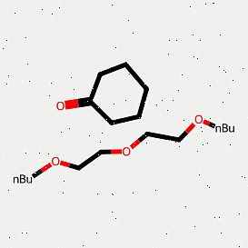 CCCCOCCOCCOCCCC.O=C1CCCCC1